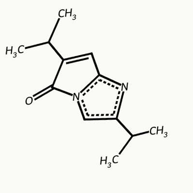 CC(C)C1=Cc2nc(C(C)C)cn2C1=O